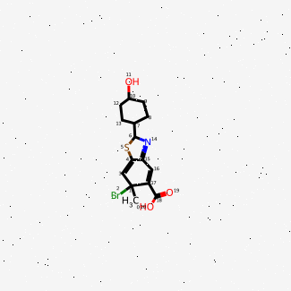 CC1(Br)C=C2SC(C3CCC(O)CC3)N=C2C=C1C(=O)O